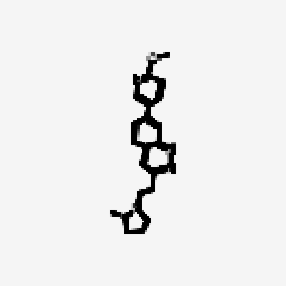 COc1ccc(-c2ccc3cc(CCN4CCC[C@H]4C)nnc3c2)cn1